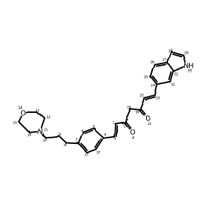 O=C(/C=C/c1ccc(CCCN2CCOCC2)cc1)CC(=O)/C=C/c1ccc2cc[nH]c2c1